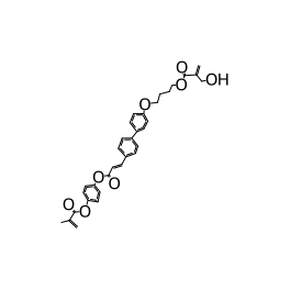 C=C(C)C(=O)Oc1ccc(OC(=O)/C=C/c2ccc(-c3ccc(OCCCCOC(=O)C(=C)CO)cc3)cc2)cc1